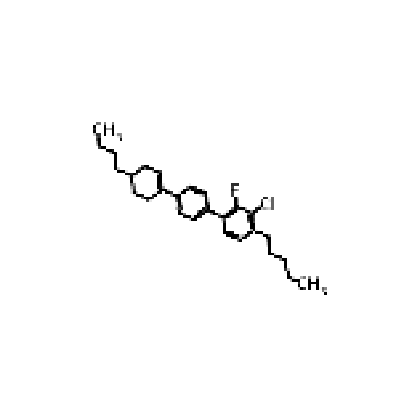 CCCCCc1ccc(-c2ccc(C3=CCC(CCCC)CC3)cc2)c(F)c1Cl